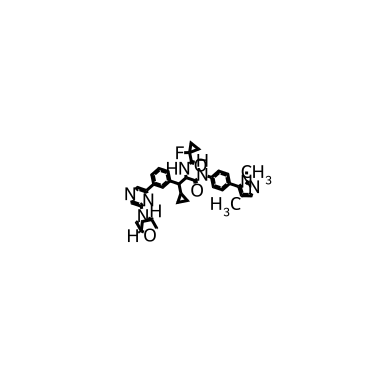 Cc1cnn(C)c1-c1ccc(NC(=O)C(NC(=O)C2(F)CC2)C(c2cccc(-c3cncc(N4C[C@@H]5C[C@H]4CO5)n3)c2)C2CC2)cc1